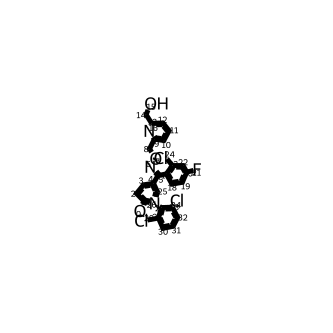 O=c1ccc(C(=NOCc2cccc(CO)n2)c2ccc(F)cc2Cl)cn1-c1c(Cl)cccc1Cl